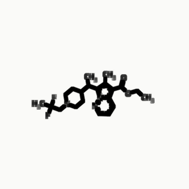 CCOC(=O)c1c(C)c(C(C)C2CCN(CC(C)(F)F)CC2)n2ncccc12